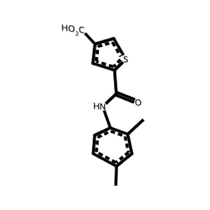 Cc1ccc(NC(=O)c2cc(C(=O)O)cs2)c(C)c1